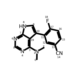 CN(C)c1ncnc2[nH]cc(-c3cc(C#N)ccc3F)c12